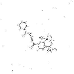 CC1(C)CCC(C)(C)c2cc(C(=O)C#COC(=O)c3ccccc3)ccc21